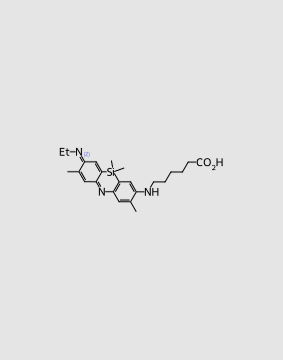 CC/N=C1/C=C2C(=Nc3cc(C)c(NCCCCCC(=O)O)cc3[Si]2(C)C)C=C1C